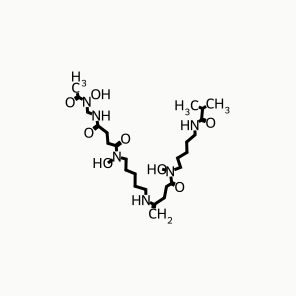 C=C(CCC(=O)N(O)CCCCCNC(=O)C(C)C)NCCCCCN(O)C(=O)CCC(=O)NCN(O)C(C)=O